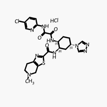 CN1CCc2nc(C(=O)N[C@@H]3C[C@@H](n4cnnc4)CC[C@@H]3NC(=O)C(=O)Nc3ccc(Cl)cn3)sc2C1.Cl